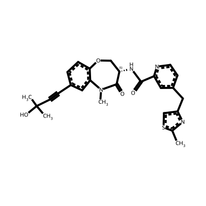 Cc1nc(Cc2ccnc(C(=O)N[C@H]3COc4ccc(C#CC(C)(C)O)cc4N(C)C3=O)c2)cs1